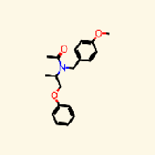 COc1ccc(CN(C(C)=O)[C@H](C)COc2ccccc2)cc1